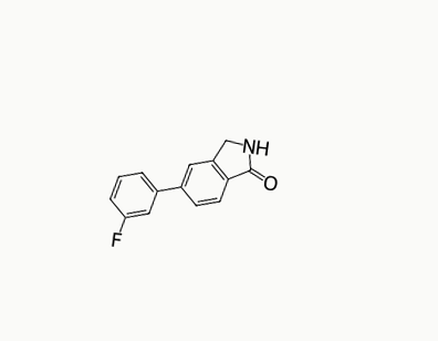 O=C1NCc2cc(-c3cccc(F)c3)ccc21